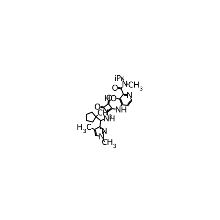 Cc1cn(C)nc1C(Nc1c(Nc2ccnc(C(=O)N(C)C(C)C)c2O)c(=O)c1=O)C1(C)CCCC1